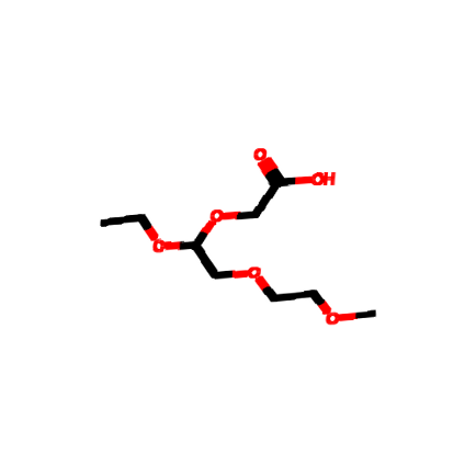 CCOC(COCCOC)OCC(=O)O